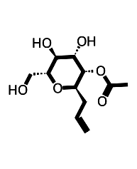 C=CC[C@H]1O[C@H](CO)[C@@H](O)[C@H](O)[C@@H]1OC(C)=O